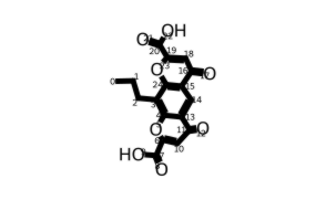 CCCc1c2oc(C(=O)O)cc(=O)c2cc2c(=O)cc(C(=O)O)oc12